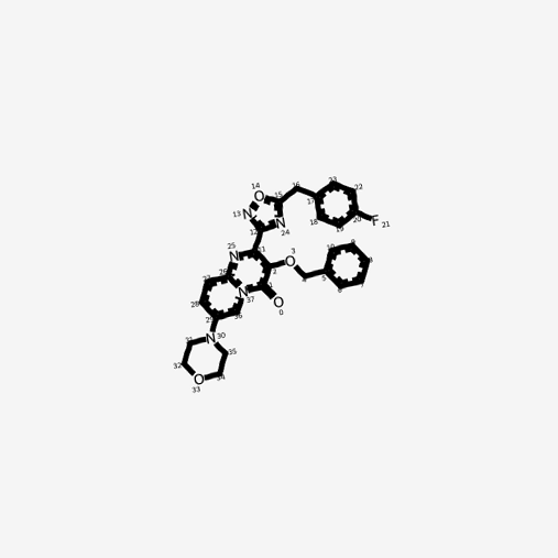 O=c1c(OCc2ccccc2)c(-c2noc(Cc3ccc(F)cc3)n2)nc2ccc(N3CCOCC3)cn12